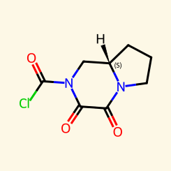 O=C(Cl)N1C[C@@H]2CCCN2C(=O)C1=O